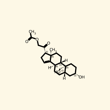 CC(=O)OCC(=O)[C@H]1CC=C2[C@@H]3CC[C@H]4C[C@@H](O)CC[C@]4(CO)[C@H]3CC[C@@]21C